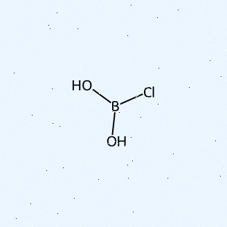 OB(O)Cl